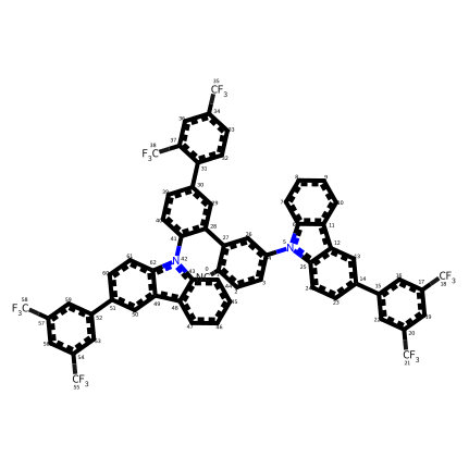 N#Cc1ccc(-n2c3ccccc3c3cc(-c4cc(C(F)(F)F)cc(C(F)(F)F)c4)ccc32)cc1-c1cc(-c2ccc(C(F)(F)F)cc2C(F)(F)F)ccc1-n1c2ccccc2c2cc(-c3cc(C(F)(F)F)cc(C(F)(F)F)c3)ccc21